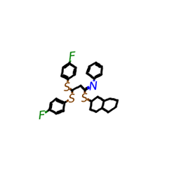 Fc1ccc(SC(CC(=Nc2ccccc2)SC2CCC3CCCCC3C2)Sc2ccc(F)cc2)cc1